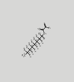 C=C(F)C(=O)OC(F)(F)C(F)(F)C(F)(F)C(F)(F)C(F)(F)C(F)(F)C(F)(F)C(F)(F)F